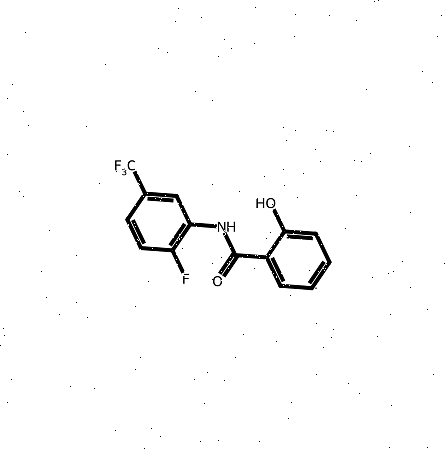 O=C(Nc1cc(C(F)(F)F)ccc1F)c1c[c]ccc1O